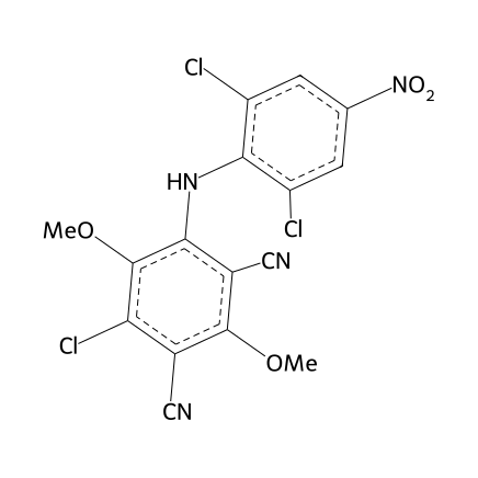 COc1c(C#N)c(Cl)c(OC)c(Nc2c(Cl)cc([N+](=O)[O-])cc2Cl)c1C#N